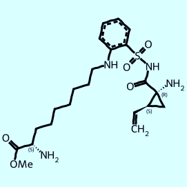 C=C[C@@H]1C[C@]1(N)C(=O)NS(=O)(=O)c1ccccc1NCCCCCCC[C@H](N)C(=O)OC